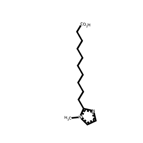 Cn1ccnc1CCCCCCCCCC(=O)O